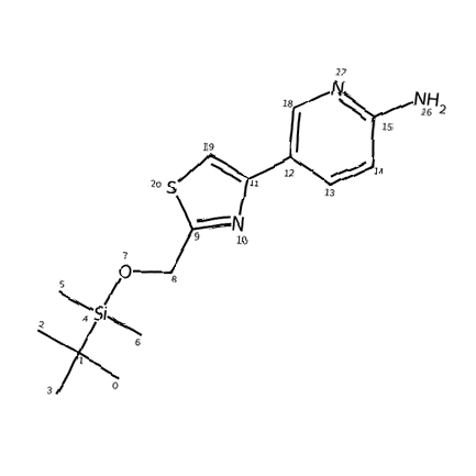 CC(C)(C)[Si](C)(C)OCc1nc(-c2ccc(N)nc2)cs1